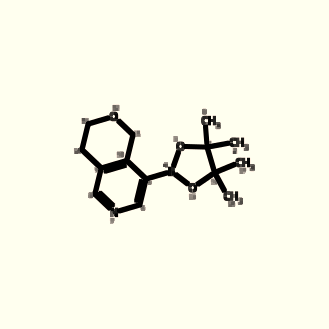 CC1(C)OB(c2cncc3c2COCC3)OC1(C)C